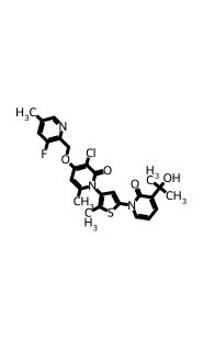 Cc1cnc(COc2cc(C)n(-c3cc(-n4cccc(C(C)(C)O)c4=O)sc3C)c(=O)c2Cl)c(F)c1